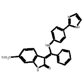 CCOC(=O)c1ccc2c(c1)NC(=O)/C2=C(/Nc1ccc(-c2ncc[nH]2)cc1)c1ccccc1